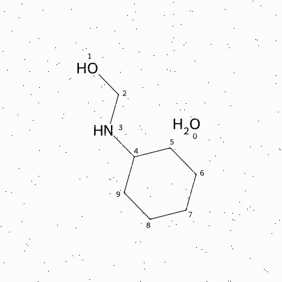 O.OCNC1CCCCC1